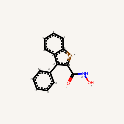 O=C(NO)c1sc2ccccc2c1-c1ccccc1